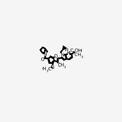 COc1cc(C(=O)N2CC3CCC2C3)cc2oc(-c3cc4ccc(C(C)(C)O)nc4n3CC3CC3)c(C)c12